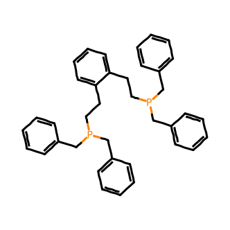 c1ccc(CP(CCc2ccccc2CCP(Cc2ccccc2)Cc2ccccc2)Cc2ccccc2)cc1